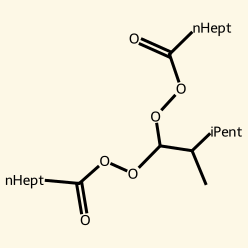 CCCCCCCC(=O)OOC(OOC(=O)CCCCCCC)C(C)C(C)CCC